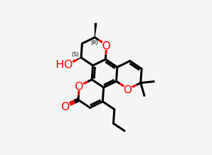 CCCc1cc(=O)oc2c3c(c4c(c12)OC(C)(C)C=C4)O[C@H](C)C[C@@H]3O